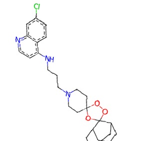 Clc1ccc2c(NCCCN3CCC4(CC3)OOC3(O4)C4CC5CC(C4)CC3C5)ccnc2c1